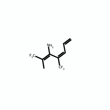 C=C/C=C(\C(N)=C(/C)C(F)(F)F)C(F)(F)F